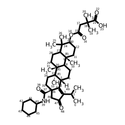 CC(C)C1=C2[C@H]3CCC4[C@@]5(C)CC[C@H](OC(=O)CC(C)(C)C(=O)O)C(C)(C)C5CC[C@@]4(C)[C@]3(C)CC[C@@]2(C(=O)NC2CCCCC2)CC1=O